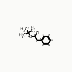 CC(C)(C)OC(Cl)Cc1ccccc1